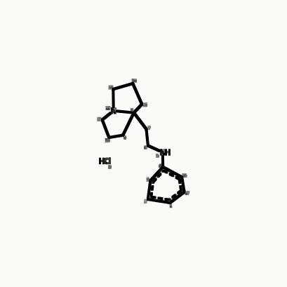 Cl.c1ccc(NCCC23CCCN2CCC3)cc1